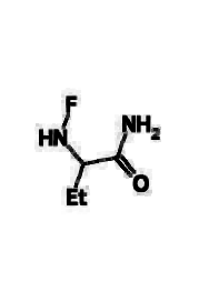 CCC(NF)C(N)=O